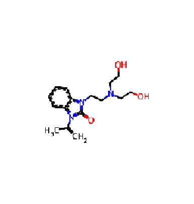 C=C(C)n1c(=O)n(CCN(CCO)CCO)c2ccccc21